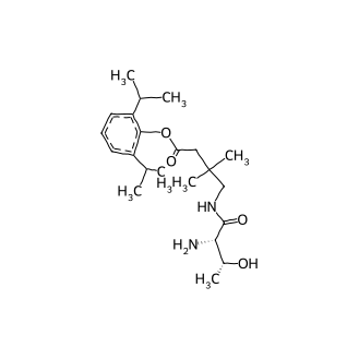 CC(C)c1cccc(C(C)C)c1OC(=O)CC(C)(C)CNC(=O)[C@@H](N)[C@@H](C)O